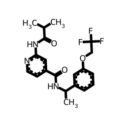 CC(C)C(=O)Nc1cc(C(=O)NC(C)c2cccc(OCC(F)(F)F)c2)ccn1